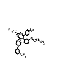 NOOSc1cccc(-c2c(-c3ccc(F)cc3)nc(C(F)(F)F)nc2N2CCN(c3cccc(C(F)(F)F)c3)CC2)c1